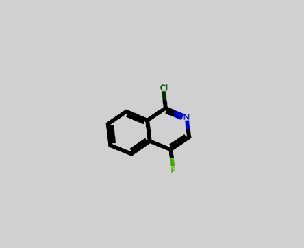 Fc1cnc(Cl)c2ccccc12